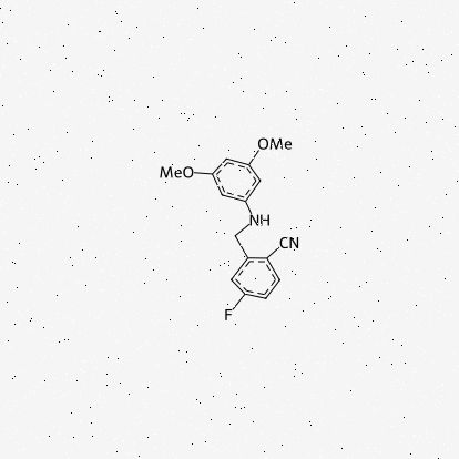 COc1cc(NCc2cc(F)ccc2C#N)cc(OC)c1